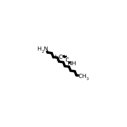 CC=C=N.CCCCCCCCCCCCN